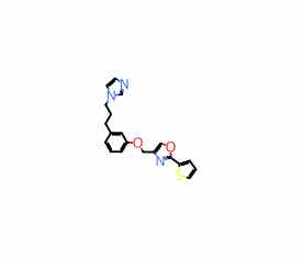 c1cc(CCCn2ccnc2)cc(OCc2coc(-c3cccs3)n2)c1